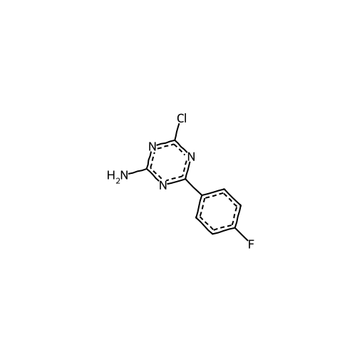 Nc1nc(Cl)nc(-c2ccc(F)cc2)n1